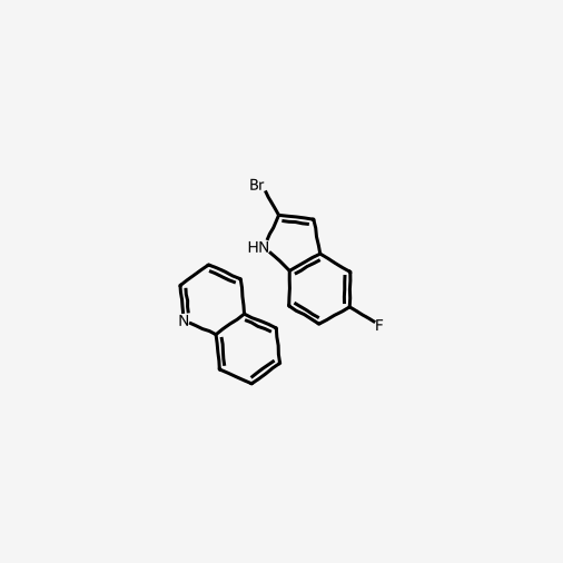 Fc1ccc2[nH]c(Br)cc2c1.c1ccc2ncccc2c1